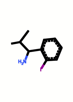 CC(C)C(N)c1ccccc1I